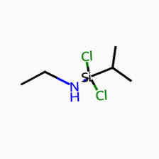 CCN[Si](Cl)(Cl)C(C)C